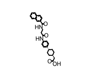 O=C(O)C[C@H]1CC[C@H](c2ccc(NC(=O)CCNC(=O)c3ccc4ccccc4c3)cc2)CC1